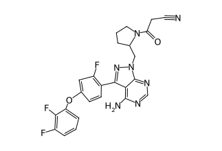 N#CCC(=O)N1CCCC1Cn1nc(-c2ccc(Oc3cccc(F)c3F)cc2F)c2c(N)ncnc21